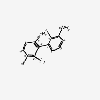 Nc1cccc(-c2c(F)ccc(F)c2F)c1N